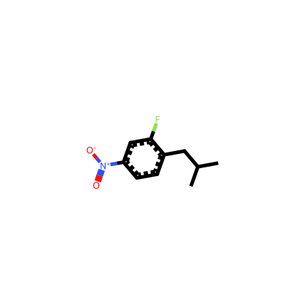 CC(C)Cc1ccc([N+](=O)[O-])cc1F